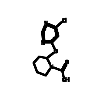 O=C(O)N1CCCCC1Oc1cc(Cl)ncn1